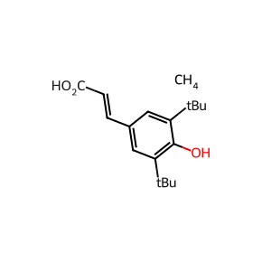 C.CC(C)(C)c1cc(C=CC(=O)O)cc(C(C)(C)C)c1O